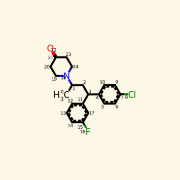 CC(CC(c1ccc(Cl)cc1)c1cccc(F)c1)N1CCC(=O)CC1